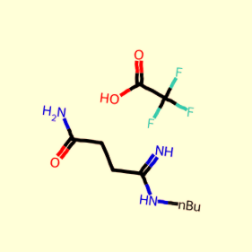 CCCCNC(=N)CCC(N)=O.O=C(O)C(F)(F)F